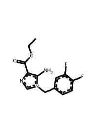 CCOC(=O)c1ncn(Cc2ccc(F)c(F)c2)c1N